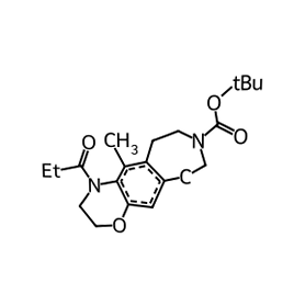 CCC(=O)N1CCOc2cc3c(c(C)c21)CCN(C(=O)OC(C)(C)C)CC3